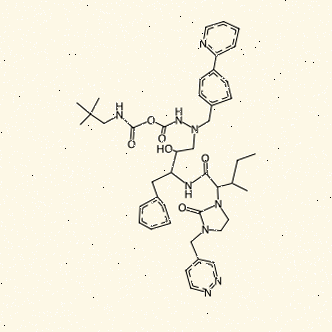 CCC(C)C(C(=O)NC(Cc1ccccc1)C(O)CN(Cc1ccc(-c2ccccn2)cc1)NC(=O)OC(=O)NCC(C)(C)C)N1CCN(Cc2ccnnc2)C1=O